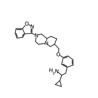 NC(Cc1cccc(OCC2CCC3CN(c4noc5ccccc45)CCN3C2)c1)C1CC1